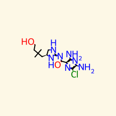 CC(C)(CCO)C[C@H]1CN/C(=N/C(=O)c2nc(Cl)c(N)nc2N)N1